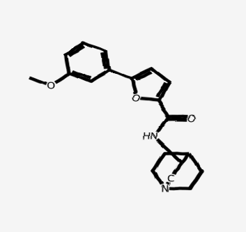 COc1cccc(-c2ccc(C(=O)NC3CN4CCC3CC4)o2)c1